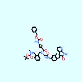 CN(Cc1ccccc1CN(CC(=O)Nc1ccc2c(c1)C[C@@]1(C2)C(=O)Nc2ncccc21)C(=O)C12CC(NC(=O)OCc3ccccc3)(C1)C2)C(=O)OC(C)(C)C